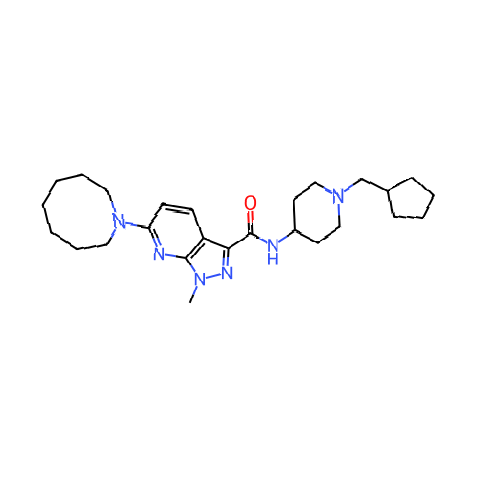 Cn1nc(C(=O)NC2CCN(CC3CCCC3)CC2)c2ccc(N3CCCCCCC3)nc21